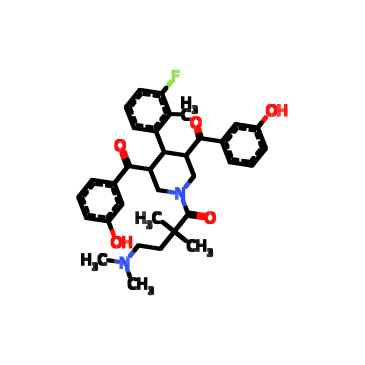 Cc1c(F)cccc1C1C(C(=O)c2cccc(O)c2)CN(C(=O)C(C)(C)CCN(C)C)CC1C(=O)c1cccc(O)c1